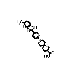 Cc1ccc2[nH]c(-c3ccc(N4CCC5(CCC(C(=O)O)CO5)CC4)nc3)nc2n1